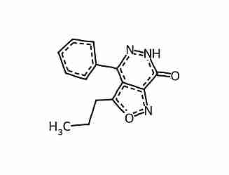 CCCc1onc2c(=O)[nH]nc(-c3ccccc3)c12